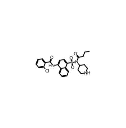 CCCC(=O)N(C1CCNCC1)S(=O)(=O)c1ccc(NC(=O)c2ccccc2Cl)c2ccccc12